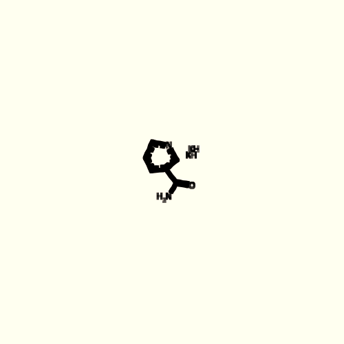 NC(=O)c1cccnc1.[KH].[KH]